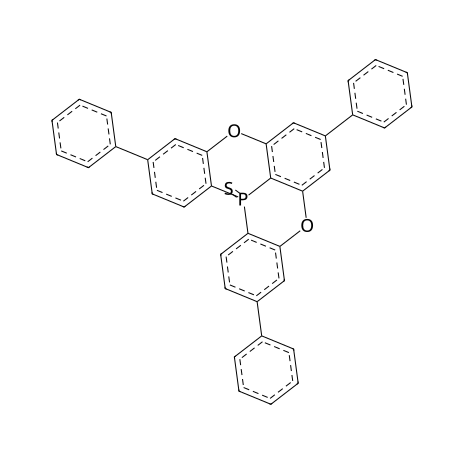 S=P12c3ccc(-c4ccccc4)cc3Oc3cc(-c4ccccc4)cc(c31)Oc1cc(-c3ccccc3)ccc12